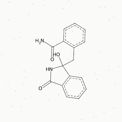 NC(=O)c1ccccc1CC1(O)NC(=O)c2ccccc21